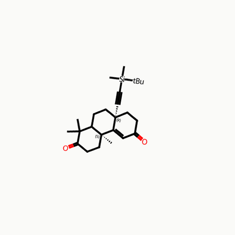 CC1(C)C(=O)CC[C@]2(C)C3=CC(=O)CC[C@]3(C#C[Si](C)(C)C(C)(C)C)CCC12